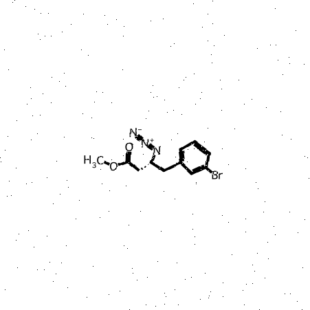 COC(=O)C[C@@H](Cc1cccc(Br)c1)N=[N+]=[N-]